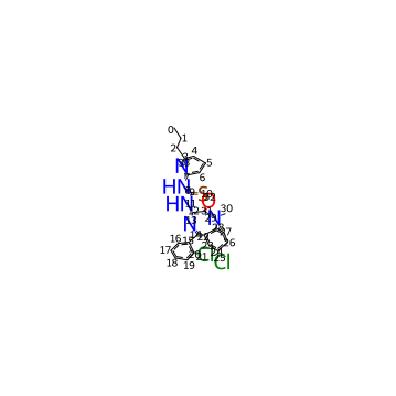 CCCc1cccc(NC(=S)NC2N=C(c3ccccc3Cl)c3cc(Cl)ccc3N(C)C2=O)n1